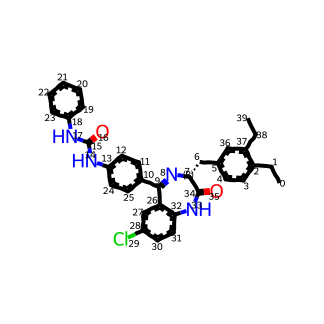 CCc1ccc(C[C@H]2N=C(c3ccc(NC(=O)Nc4ccccc4)cc3)c3cc(Cl)ccc3NC2=O)cc1CC